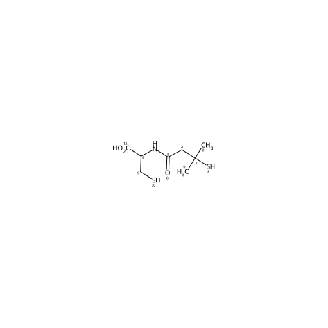 CC(C)(S)CC(=O)NC(CS)C(=O)O